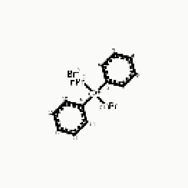 CCC[P+](CCC)(c1ccccc1)c1ccccc1.[Br-]